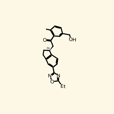 CCc1nc(-c2ccc3c(c2)CC[C@H]3CC(=O)c2cc(CO)ccc2C)no1